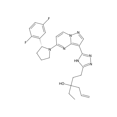 C=CCC(O)(CC)CCc1nnc(-c2cnn3ccc(N4CCC[C@@H]4c4cc(F)ccc4F)nc23)[nH]1